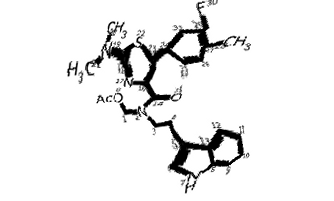 CC(=O)OCN(CCc1c[nH]c2ccccc12)C(=O)c1nc(N(C)C)sc1-c1ccc(C)c(F)c1